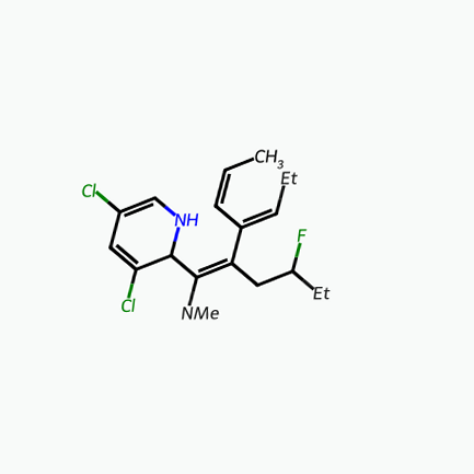 C\C=C/C(=C\CC)C(/CC(F)CC)=C(/NC)C1NC=C(Cl)C=C1Cl